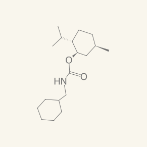 CC(C)[C@@H]1CC[C@@H](C)C[C@H]1OC(=O)NCC1CCCCC1